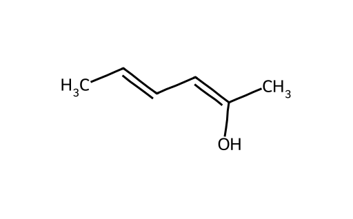 CC=CC=C(C)O